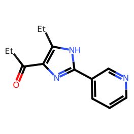 CCC(=O)c1nc(-c2cccnc2)[nH]c1CC